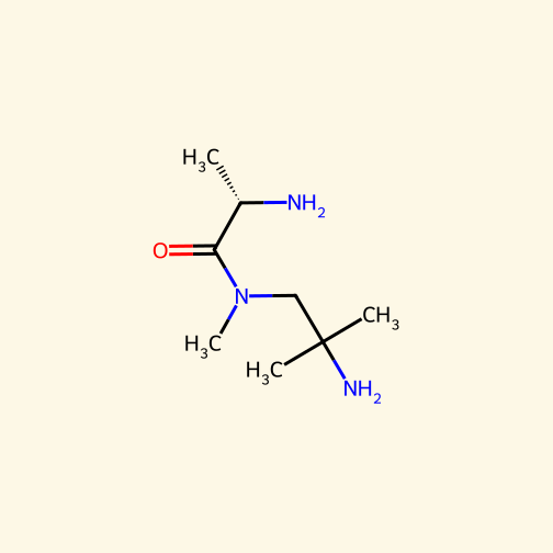 C[C@H](N)C(=O)N(C)CC(C)(C)N